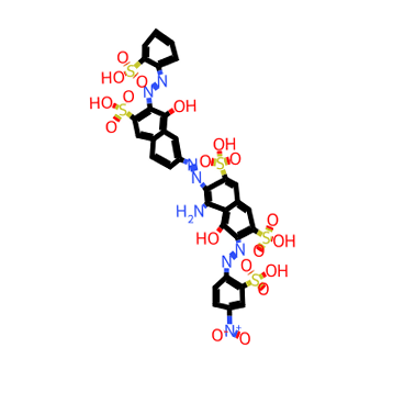 Nc1c(N=Nc2ccc3cc(S(=O)(=O)O)c(N=Nc4ccccc4S(=O)(=O)O)c(O)c3c2)c(S(=O)(=O)O)cc2cc(S(=O)(=O)O)c(N=Nc3ccc([N+](=O)[O-])cc3S(=O)(=O)O)c(O)c12